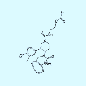 CCC(=O)OCCNC(=O)N1CCC(N2Cc3ccccc3NC2=O)C(c2ccc(Cl)c(C)c2)C1